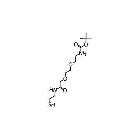 CC(C)(C)OC(=O)NCCOCCOCC(=O)NCCS